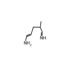 CC(C=N)CC=CN